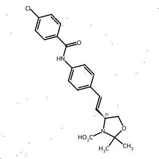 CC1(C)OC[C@H](C=Cc2ccc(NC(=O)c3ccc(Cl)cc3)cc2)N1C(=O)O